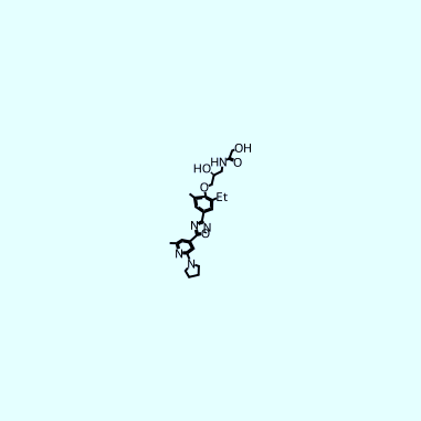 CCc1cc(-c2noc(-c3cc(C)nc(N4CCCC4)c3)n2)cc(C)c1OC[C@@H](O)CNC(=O)CO